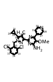 COc1c(N)nc(-c2nn(Cc3c(Cl)cccc3Cl)c(C3CC3)c2C)nc1-c1ccncc1